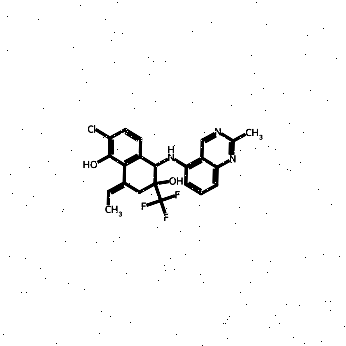 CC=C1CC(O)(C(F)(F)F)C(Nc2cccc3nc(C)ncc23)c2ccc(Cl)c(O)c21